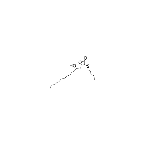 CCCCCCCCCCC[C@H](O)C[C@@H]1OC(=O)[C@H]1SCCCCC